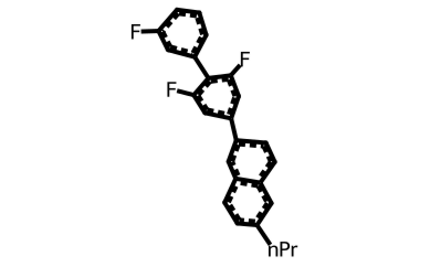 CCCc1ccc2cc(-c3cc(F)c(-c4cccc(F)c4)c(F)c3)ccc2c1